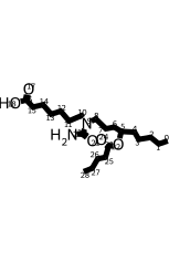 CCCCCC(CCCN(CCCCCCC(=O)O)C(N)=O)OC(=O)CCCC